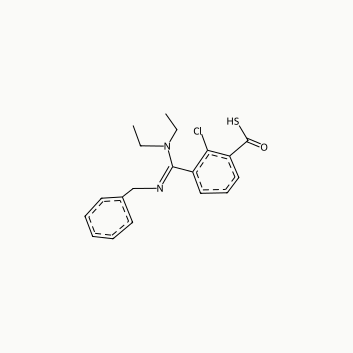 CCN(CC)C(=NCc1ccccc1)c1cccc(C(=O)S)c1Cl